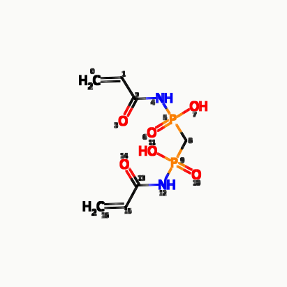 C=CC(=O)NP(=O)(O)CP(=O)(O)NC(=O)C=C